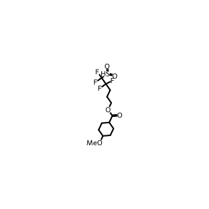 COC1CCC(C(=O)OCCCC(F)(F)C(F)(F)[SH](=O)=O)CC1